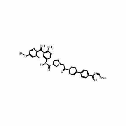 CCN(C(=O)[C@@H]1CCN(CC(=O)N2CC=C(c3ccc(C(=N)/N=C\NC)cc3)CC2)C1)c1ccc(N)c(C(=N)c2ncc(OC(C)C)cc2F)c1